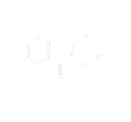 CCOP(OCC)C(=O)c1ccccc1